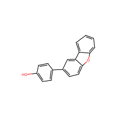 Oc1ccc(-c2ccc3oc4ccccc4c3c2)cc1